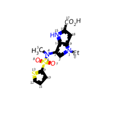 CCn1cc(N(C)S(=O)(=O)c2cccs2)c2[nH]c(C(=O)O)cc21